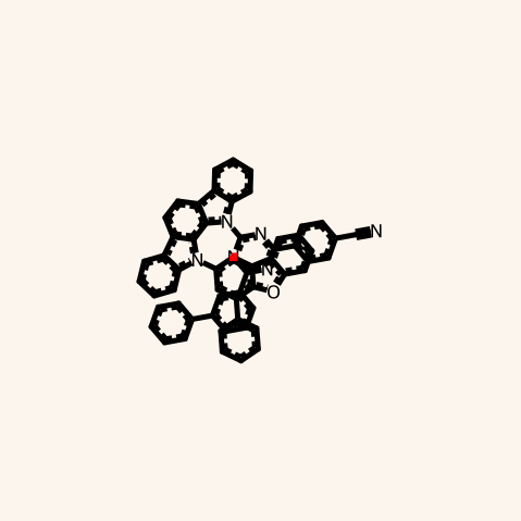 N#Cc1ccc(-c2nc(-c3cccc(-c4ccccc4)c3)nc(-n3c4ccccc4c4ccc5c6ccccc6n(-c6cc(-c7ccccc7)c7oc8ccccc8c7c6)c5c43)n2)cc1